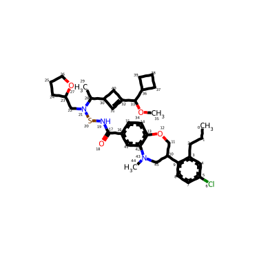 CCCc1cc(Cl)ccc1C1COc2ccc(C(=O)NSN(CC3CCCO3)C(C)C3C=C(C(OC)C4CCC4)C3)cc2N(C)C1